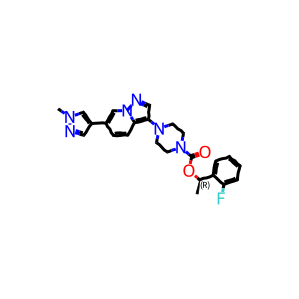 C[C@@H](OC(=O)N1CCN(c2cnn3cc(-c4cnn(C)c4)ccc23)CC1)c1ccccc1F